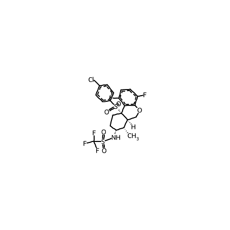 C[C@@H]1[C@H](NS(=O)(=O)C(F)(F)F)CC[C@@]2(S(=O)(=O)c3ccc(Cl)cc3)c3c(F)ccc(F)c3OC[C@@H]12